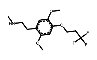 CNCCc1cc(OC)c(OCCC(F)(F)F)cc1OC